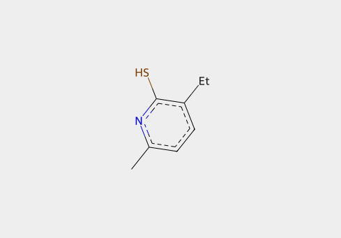 CCc1ccc(C)nc1S